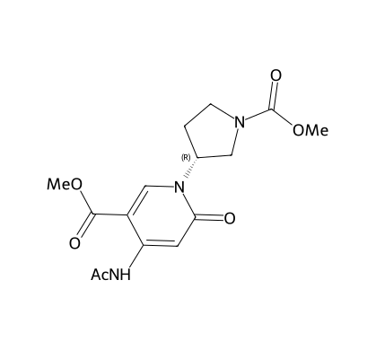 COC(=O)c1cn([C@@H]2CCN(C(=O)OC)C2)c(=O)cc1NC(C)=O